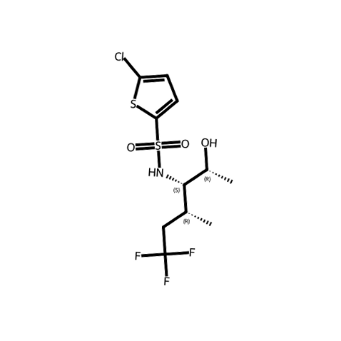 C[C@H](CC(F)(F)F)[C@H](NS(=O)(=O)c1ccc(Cl)s1)[C@@H](C)O